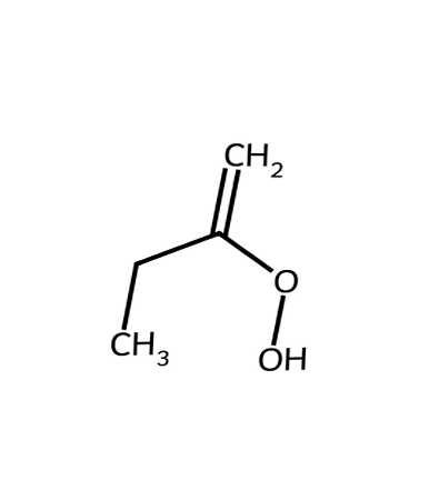 C=C(CC)OO